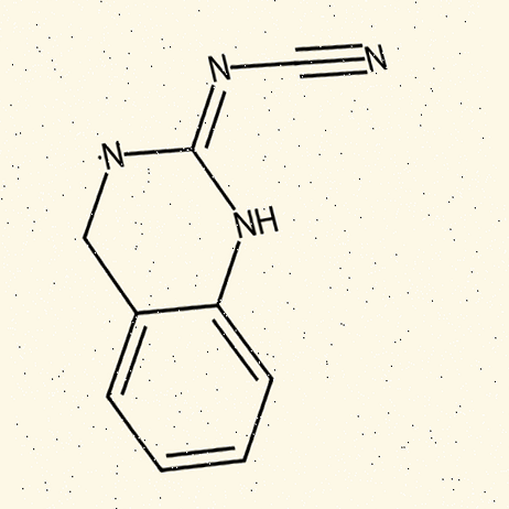 N#CN=C1[N]Cc2ccccc2N1